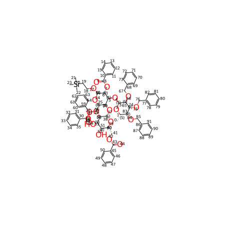 C[C@@H]1O[C@@H](O[C@@H]2[C@@H](OC(=O)c3ccccc3)[C@H](OCC[Si](C)(C)C)O[C@H](COC(=O)c3ccccc3)[C@H]2O[C@@H]2O[C@H](COC(=O)c3ccccc3)[C@H](O)[C@H](O)[C@H]2OC(=O)c2ccccc2)[C@@H](OCc2ccccc2)[C@H](OCc2ccccc2)[C@@H]1OCc1ccccc1